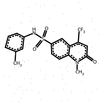 Cc1cccc(NS(=O)(=O)c2ccc3c(c2)c(C(F)(F)F)cc(=O)n3C)c1